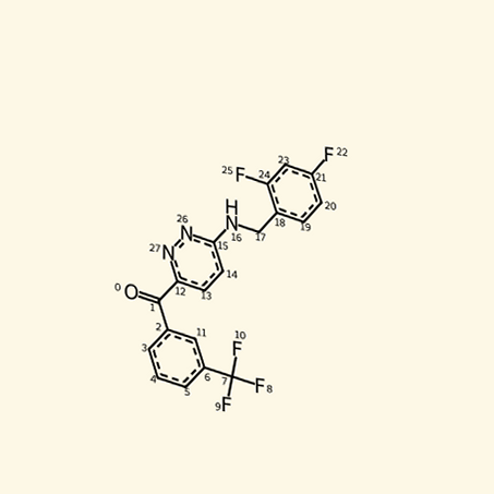 O=C(c1cccc(C(F)(F)F)c1)c1ccc(NCc2ccc(F)cc2F)nn1